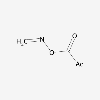 C=NOC(=O)C(C)=O